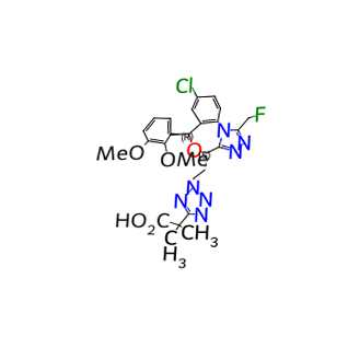 COc1cccc([C@@H]2O[C@@H](CCn3nnc(C(C)(C)C(=O)O)n3)c3nnc(CF)n3-c3ccc(Cl)cc32)c1OC